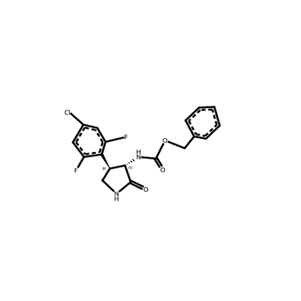 O=C(N[C@@H]1C(=O)NC[C@H]1c1c(F)cc(Cl)cc1F)OCc1ccccc1